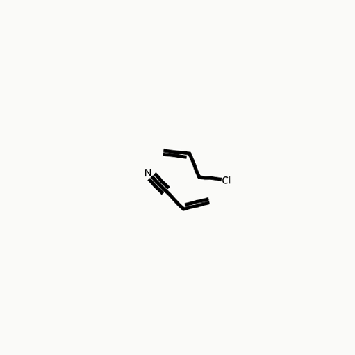 C=CC#N.C=CCCl